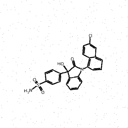 NS(=O)(=O)c1ccc(C2(O)C(=O)N(c3cccc4cc(Cl)ccc34)c3ccccc32)cc1